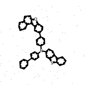 c1ccc(-c2ccc(N(c3ccc(-c4ccc5oc6ccc7ccccc7c6c5c4)cc3)c3ccc4c(c3)sc3ccccc34)cc2)cc1